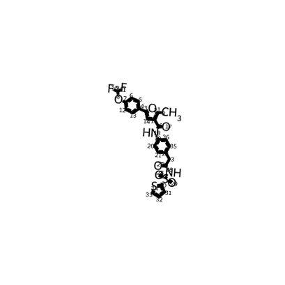 Cc1oc(-c2ccc(OC(F)F)cc2)cc1C(=O)Nc1ccc(CC(=O)NS(=O)(=O)c2cccs2)cc1